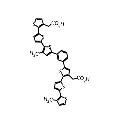 Cc1ccsc1-c1ccc(-c2sc(-c3cccc(-c4cc(C)c(-c5ccc(-c6sccc6CC(=O)O)s5)s4)c3)cc2CC(=O)O)s1